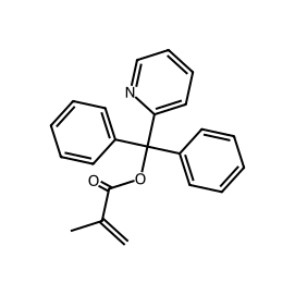 C=C(C)C(=O)OC(c1ccccc1)(c1ccccc1)c1ccccn1